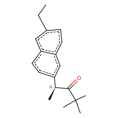 CCc1ccc2cc([C@H](C)C(=O)C(C)(C)C)ccc2c1